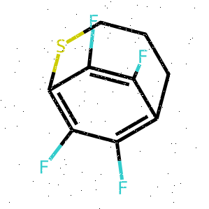 Fc1c(F)c2c(F)c(F)c1CCCS2